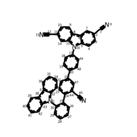 N#Cc1ccc2c(c1)c1ccc(C#N)cc1n2-c1ccc(-c2ccc(-c3ccccc3-n3c4ccccc4c4ccccc43)c(C#N)c2)cc1